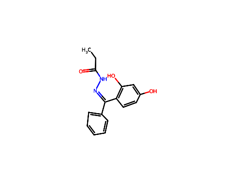 CCC(=O)NN=C(c1ccccc1)c1ccc(O)cc1O